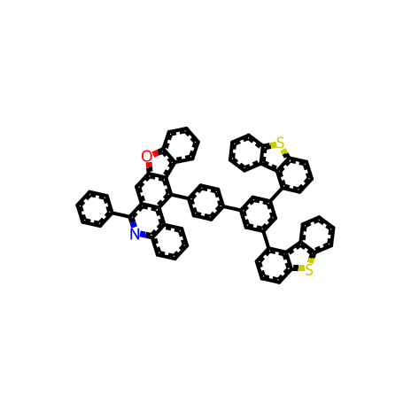 c1ccc(-c2nc3ccccc3c3c(-c4ccc(-c5cc(-c6cccc7sc8ccccc8c67)cc(-c6cccc7sc8ccccc8c67)c5)cc4)c4c(cc23)oc2ccccc24)cc1